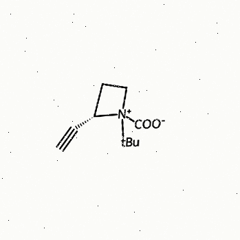 C#C[C@@H]1CC[N+]1(C(=O)[O-])C(C)(C)C